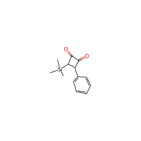 C[Si](C)(C)C1C(=O)C(=O)C1c1ccccc1